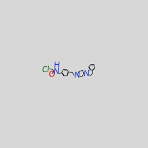 O=C(CCl)NCc1ccc(CCN2CCC(N3CCc4ccccc43)CC2)cc1